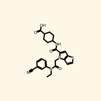 CCN(C(=O)Cn1c(C(=O)NC2CCC(C(=O)O)CC2)cc2sccc21)c1cccc(C#N)c1